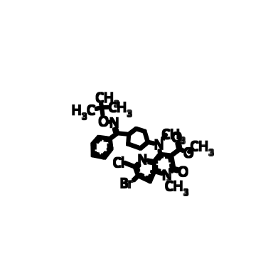 COC(=O)c1c(N(C)C2CCC(/C(=N/OC(C)(C)C)c3ccccc3)CC2)c2nc(Cl)c(Br)cc2n(C)c1=O